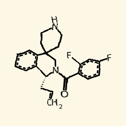 C=CC[C@@H]1c2ccccc2C2(CCNCC2)CN1C(=O)c1ccc(F)cc1F